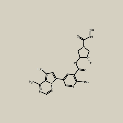 COc1ncc(-c2cc(C(F)(F)F)c3c(N)ncnn23)cc1C(=O)NC1CN(C(=O)NC(C)(C)C)C[C@@H]1F